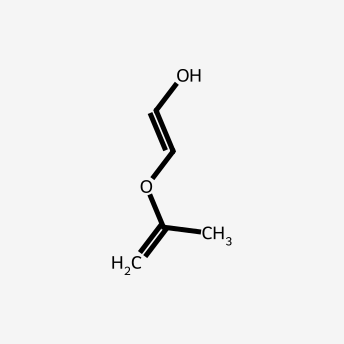 C=C(C)OC=CO